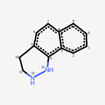 c1ccc2c3c(ccc2c1)CCNN3